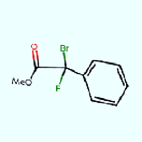 COC(=O)C(F)(Br)c1ccccc1